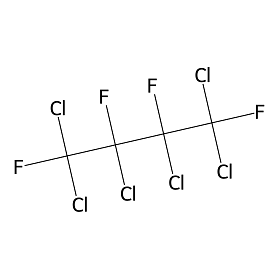 FC(Cl)(Cl)C(F)(Cl)C(F)(Cl)C(F)(Cl)Cl